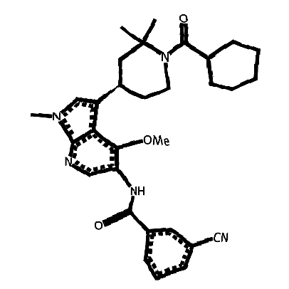 COc1c(NC(=O)c2cccc(C#N)c2)cnc2c1c([C@@H]1CCN(C(=O)C3CCCCC3)C(C)(C)C1)cn2C